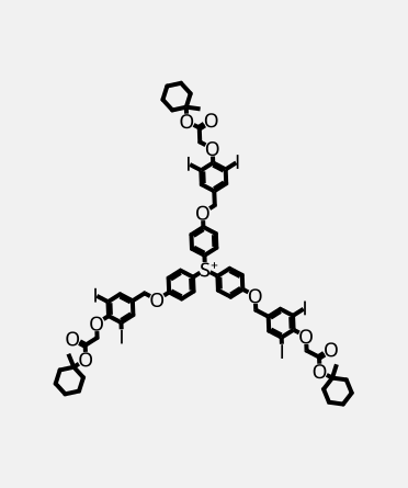 CC1(OC(=O)COc2c(I)cc(COc3ccc([S+](c4ccc(OCc5cc(I)c(OCC(=O)OC6(C)CCCCC6)c(I)c5)cc4)c4ccc(OCc5cc(I)c(OCC(=O)OC6(C)CCCCC6)c(I)c5)cc4)cc3)cc2I)CCCCC1